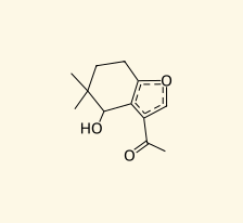 CC(=O)c1coc2c1C(O)C(C)(C)CC2